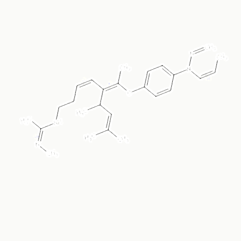 C=NN(/C=C\C)c1ccc(O/C(C)=C(/C=C\CCN/C(C)=N\C)C(C)C=C(C)C)cc1